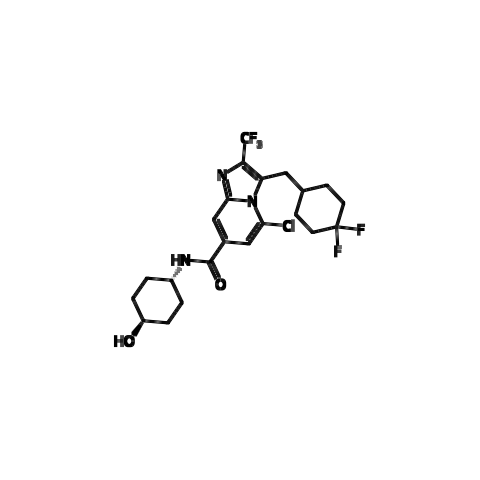 O=C(N[C@H]1CC[C@H](O)CC1)c1cc(Cl)n2c(CC3CCC(F)(F)CC3)c(C(F)(F)F)nc2c1